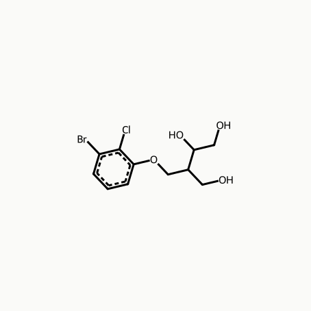 OCC(O)C(CO)COc1cccc(Br)c1Cl